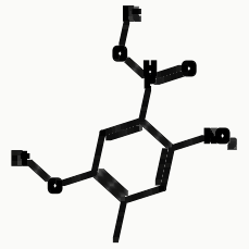 CCOc1cc([PH](=O)OCC)c([N+](=O)[O-])cc1C